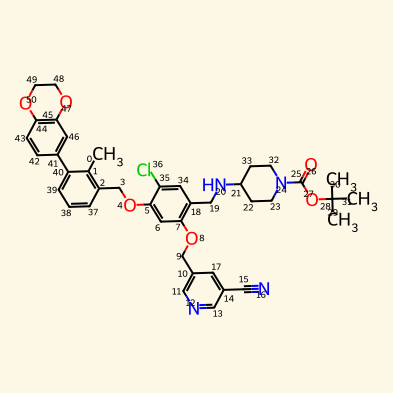 Cc1c(COc2cc(OCc3cncc(C#N)c3)c(CNC3CCN(C(=O)OC(C)(C)C)CC3)cc2Cl)cccc1-c1ccc2c(c1)OCCO2